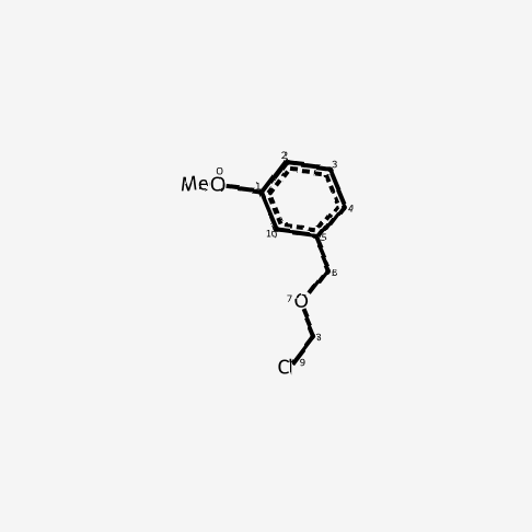 COc1cccc(COCCl)c1